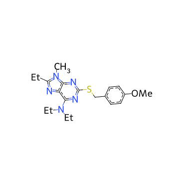 CCc1nc2c(N(CC)CC)nc(SCc3ccc(OC)cc3)nc2n1C